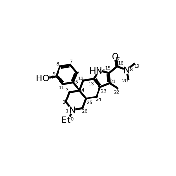 CCN1CCC2(c3cccc(O)c3)Cc3[nH]c(C(=O)N(C)C)c(C)c3CC2C1